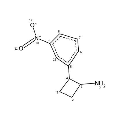 NC1CCC1c1cccc([N+](=O)[O-])c1